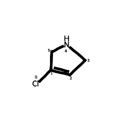 ClC1=CCN[C]1